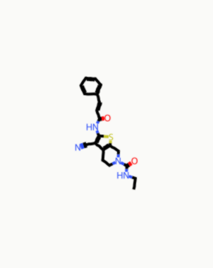 CCNC(=O)N1CCc2c(sc(NC(=O)C=Cc3ccccc3)c2C#N)C1